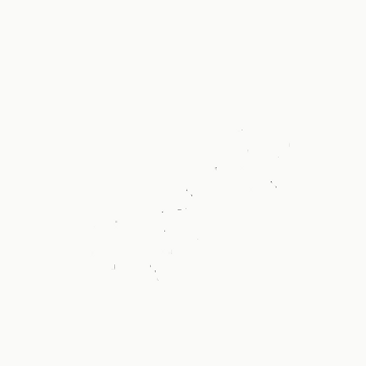 Cc1ccc2[nH]cc(CCNC(=O)Cc3c[nH]c4ccccc34)c2c1